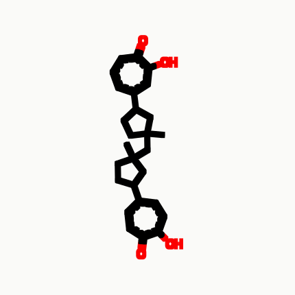 CC1(CC2(C)CCC(c3cccc(=O)c(O)c3)C2)CCC(c2ccc(O)c(=O)cc2)C1